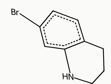 Brc1ccc2c(c1)NCCC2